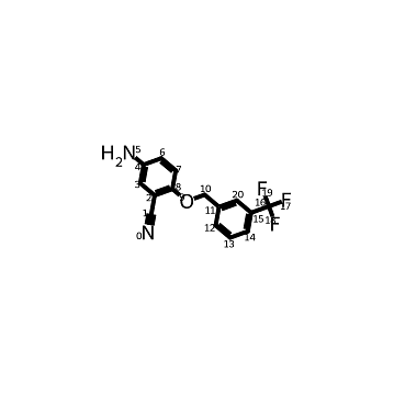 N#Cc1cc(N)ccc1OCc1cccc(C(F)(F)F)c1